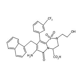 Nc1c(Cc2cccc3ccccc23)c(-c2cccc(C(F)(F)F)c2)c2n(c1=O)C(C(=O)O)CN(CCO)S2(=O)=O